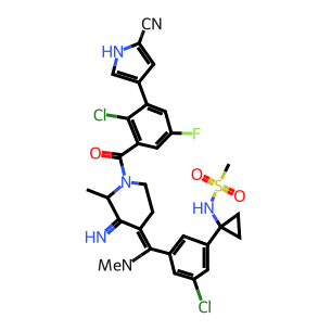 CN/C(=C1/CCN(C(=O)c2cc(F)cc(-c3c[nH]c(C#N)c3)c2Cl)C(C)C1=N)c1cc(Cl)cc(C2(NS(C)(=O)=O)CC2)c1